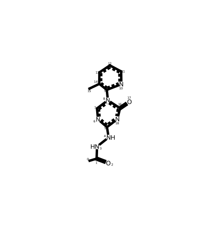 CC(=O)NNc1ncn(-c2ncccc2C)c(=O)n1